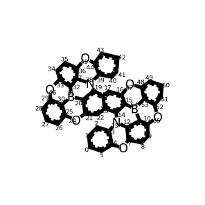 c1ccc2c(c1)Oc1ccc3c4c1N2c1c2c(cc5c6c7c(cc15)Oc1cccc5c1B7c1c(ccc7c1N6c1ccccc1O7)O5)Oc1cccc(c1B42)O3